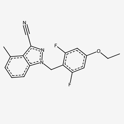 CCOc1cc(F)c(Cn2nc(C#N)c3c(C)cccc32)c(F)c1